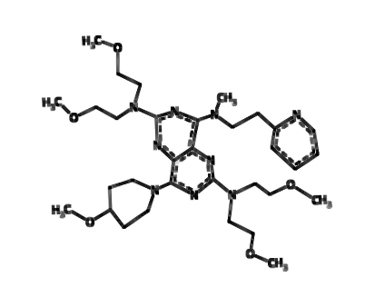 COCCN(CCOC)c1nc(N2CCC(OC)CC2)c2nc(N(CCOC)CCOC)nc(N(C)CCc3ccccn3)c2n1